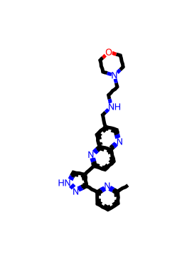 Cc1cccc(-c2n[nH]cc2-c2ccc3ncc(CNCCN4CCOCC4)cc3n2)n1